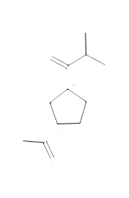 CC(=O)[C@H]1CC[C@@H](C(=O)C(C)C)C1